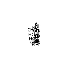 CCNc1nc(Cl)nc2c1ccn2[C@@H]1O[C@H](CS(=O)(=O)CP(=O)(O)O)[C@@H](O)[C@H]1O